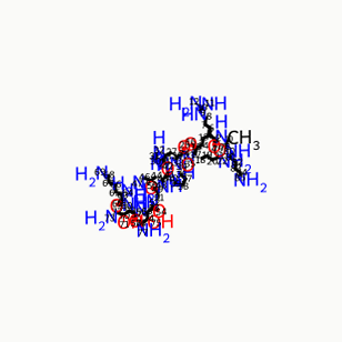 C[C@H](NC(=O)/C(=C/CCNC(=N)N)CCC(=O)[C@H](CCCCN)NC(=O)[C@H](Cc1cnc[nH]1)NC(=O)[C@@H]1CCCN1C(=O)[C@@H](CCCN)NC(=O)CNC(=O)[C@@H](NC(=O)[C@@H](NC(=O)[C@@H](N)CCCCN)[C@@H](O)CN)[C@@H](O)CN)C(=O)NCCCCN